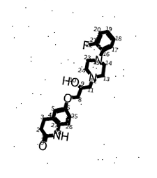 O=C1CCc2cc(OCC(O)CN3CCN(c4ccccc4F)CC3)ccc2N1